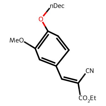 CCCCCCCCCCOc1ccc(/C=C(\C#N)C(=O)OCC)cc1OC